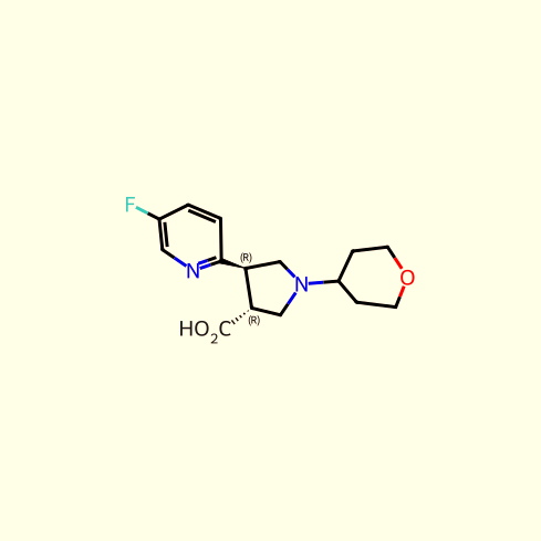 O=C(O)[C@H]1CN(C2CCOCC2)C[C@@H]1c1ccc(F)cn1